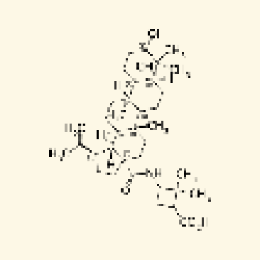 C=C(C)[C@@H]1CC[C@]2(C(=O)NC3CC(C(=O)O)C3(C)C)CC[C@]3(C)[C@H](CC[C@@H]4[C@@]5(C)CC[C@H](O)C(C)(C)[C@@H]5CC[C@]43C)[C@@H]12